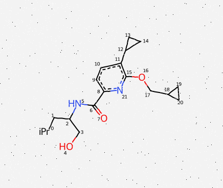 CC(C)CC(CO)NC(=O)c1ccc(C2CC2)c(OCC2CC2)n1